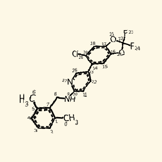 Cc1cccc(C)c1CNc1ccc(-c2cc3c(cc2Cl)OC(F)(F)O3)cn1